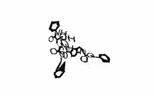 O=C(N[C@@H](CC(C(=O)O)C(=O)Nc1ccccc1)C(=O)OCc1ccccc1)c1ccc2c(c1)CCN2C(=O)OCc1ccccc1